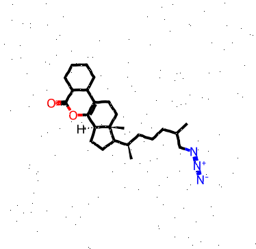 CC(CCC[C@@H](C)C1CC[C@H]2C3=C(CC[C@]12C)C1CCCCC1C(=O)O3)CN=[N+]=[N-]